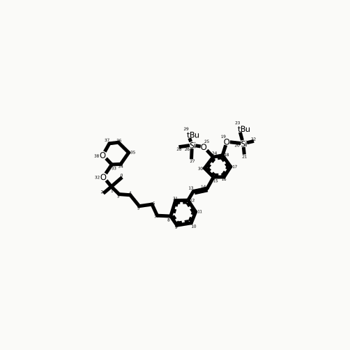 CC(C)(CCCCCc1cccc(C=Cc2ccc(O[Si](C)(C)C(C)(C)C)c(O[Si](C)(C)C(C)(C)C)c2)c1)OC1CCCCO1